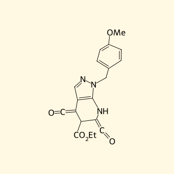 CCOC(=O)C1C(=C=O)Nc2c(cnn2Cc2ccc(OC)cc2)C1=C=O